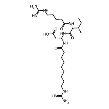 CC[C@@H](C)[C@@H](NC(=O)CCCCNC(=N)N)C(=O)N[C@@H](CC(=O)O)NC(=O)CCCCCCCCNC(=N)N